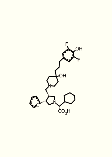 O=C(O)[C@@H](C1CCCCC1)N1C[C@H](CN2CCC(O)(CCCc3cc(F)c(O)c(F)c3)CC2)[C@@H](c2ccccc2)C1